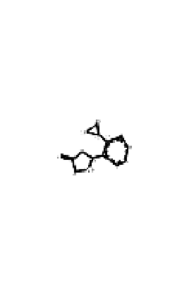 C=C1CNC(c2ccccc2C2CC2)C1